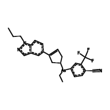 CCCn1ncc2cc(C3=CCC([As](CC)c4ccc(C#N)c(C(F)(F)F)c4)C3)ccc21